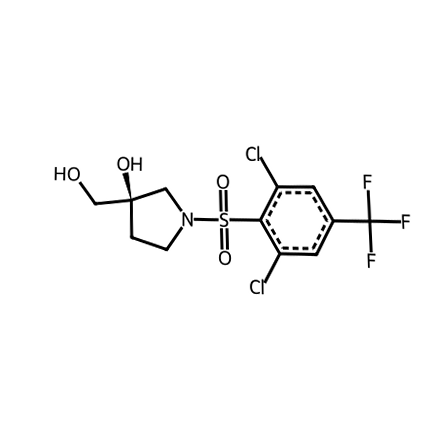 O=S(=O)(c1c(Cl)cc(C(F)(F)F)cc1Cl)N1CC[C@](O)(CO)C1